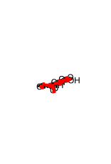 COC(=O)c1cc(C=Cc2ccc(OC)cc2)ccc1NC(=O)c1ccc(N(C)C(=O)c2ccc(C(=O)O)cc2)cc1